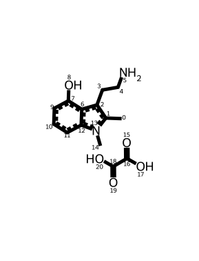 Cc1c(CCN)c2c(O)cccc2n1C.O=C(O)C(=O)O